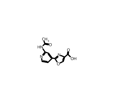 CC(=O)Nc1cc(-c2nc(C(=O)O)co2)ccn1